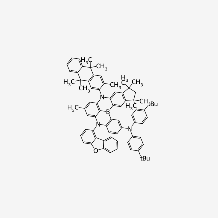 Cc1cc2c3c(c1)N(c1cccc4oc5ccccc5c14)c1ccc(N(c4ccc(C(C)(C)C)cc4)c4ccc(C(C)(C)C)cc4)cc1B3c1cc3c(cc1N2c1cc2c(cc1C)C(C)(C)c1ccccc1C2(C)C)C(C)(C)CC3(C)C